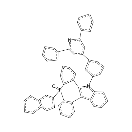 O=P1(c2ccc3ccccc3c2)c2ccccc2-c2c(n(-c3cccc(-c4cc(-c5ccccc5)nc(-c5ccccc5)c4)c3)c3ccccc23)-c2ccccc21